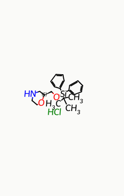 CC(C)(C)[Si](OC[C@@H]1CNCCO1)(c1ccccc1)c1ccccc1.Cl